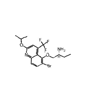 CC[C@@H](N)COc1c(Br)ccc2nc(OC(C)C)cc(C(F)(F)F)c12